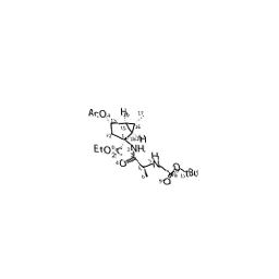 CCOC(=O)[C@]1(NC(=O)[C@H](C)NC(=O)OC(C)(C)C)C[C@H](OC(C)=O)[C@H]2[C@H](C)[C@H]21